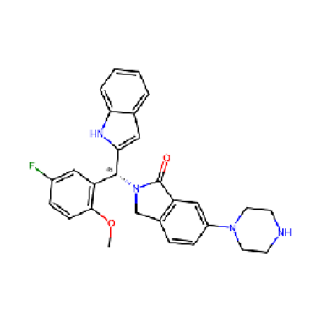 COc1ccc(F)cc1[C@H](c1cc2ccccc2[nH]1)N1Cc2ccc(N3CCNCC3)cc2C1=O